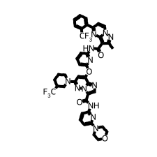 Cc1nn2ccc(-c3ccccc3C(F)(F)F)nc2c1C(=O)Nc1cccc(Oc2cc(N3CCCC(C(F)(F)F)C3)nn3c(C(=O)Nc4cccc(N5CCOCC5)n4)cnc23)n1